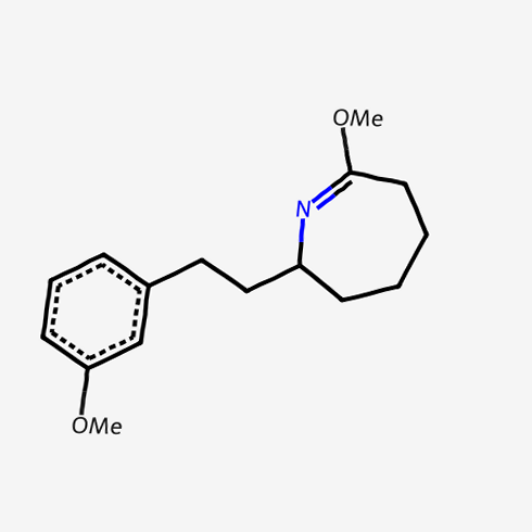 COC1=NC(CCc2cccc(OC)c2)CCCC1